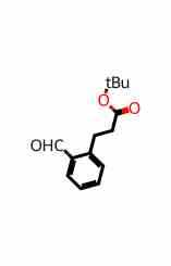 CC(C)(C)OC(=O)CCc1ccccc1C=O